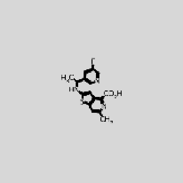 Cc1cc2sc(N[C@@H](C)c3cncc(F)c3)cc2c(C(=O)O)n1